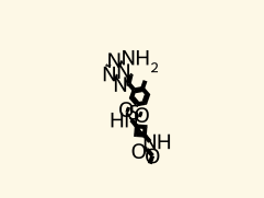 COC(=O)NC12CC(NS(=O)(=O)c3ccc(C)c(-c4cn5c(N)ncnc5n4)c3)(C1)C2